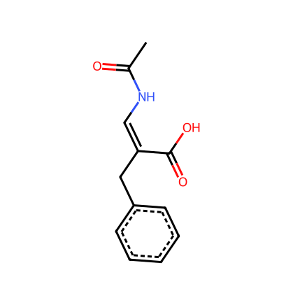 CC(=O)NC=C(Cc1ccccc1)C(=O)O